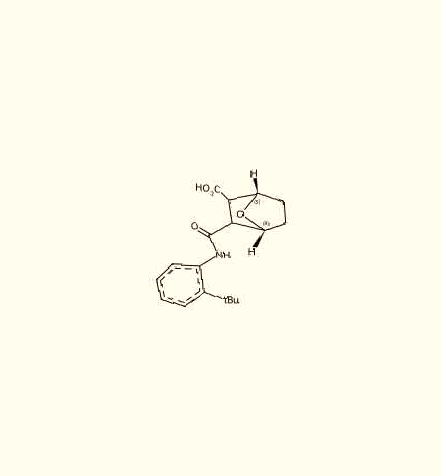 CC(C)(C)c1ccccc1NC(=O)C1C(C(=O)O)[C@@H]2CC[C@H]1O2